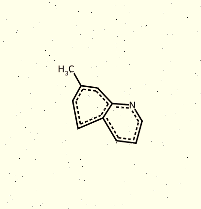 Cc1ccc2[c]ccnc2c1